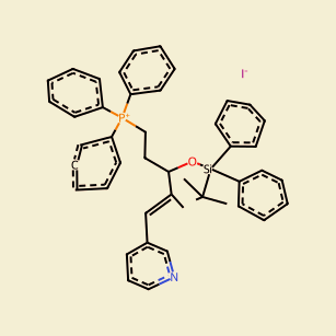 CC(=Cc1cccnc1)C(CC[P+](c1ccccc1)(c1ccccc1)c1ccccc1)O[Si](c1ccccc1)(c1ccccc1)C(C)(C)C.[I-]